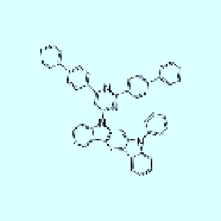 c1ccc(-c2ccc(-c3cc(-n4c5ccccc5c5cc6c7ccccc7n(-c7ccccc7)c6cc54)nc(-c4ccc(-c5ccccc5)cc4)n3)cc2)cc1